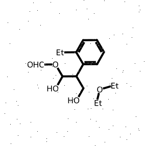 CCOCC.CCc1ccccc1C(CO)C(O)OC=O